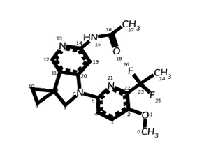 COc1ccc(N2CC3(CC3)c3cnc(NC(C)=O)cc32)nc1C(C)(F)F